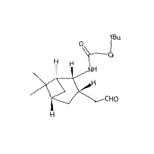 CC(C)(C)OC(=O)N[C@@H]1[C@H](CC=O)C[C@H]2C[C@H]1C2(C)C